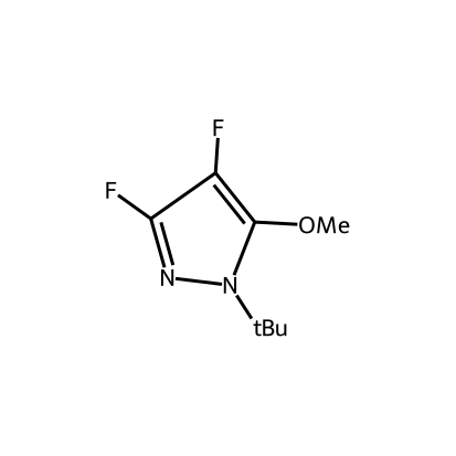 COc1c(F)c(F)nn1C(C)(C)C